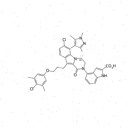 Cc1cc(OCCCc2c3n(c4c(-c5c(C)nn(C)c5C)c(Cl)ccc24)[C@H](C)CN(c2cccc4[nH]c(C(=O)O)cc24)C3=O)cc(C)c1Cl